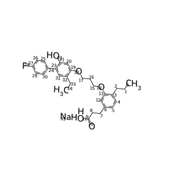 CCCc1ccc(CCC(=O)O)cc1OCCCOc1cc(O)c(-c2ccc(F)cc2)cc1CC.[NaH]